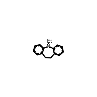 CCN1c2ccccc2CCc2ccccc21